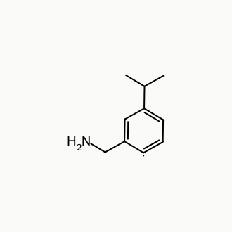 CC(C)c1cc[c]c(CN)c1